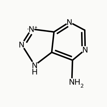 Nc1ncnc2c1NN=[N+]2